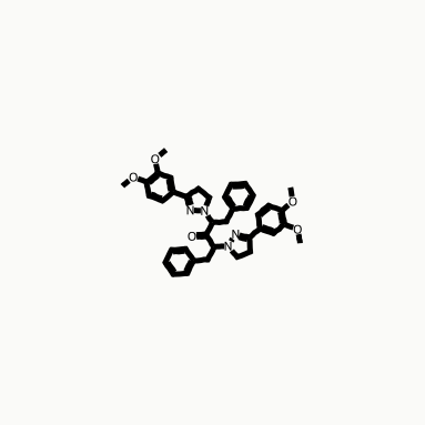 COc1ccc(C2=NN(C(Cc3ccccc3)C(=O)C(Cc3ccccc3)N3CCC(c4ccc(OC)c(OC)c4)=N3)CC2)cc1OC